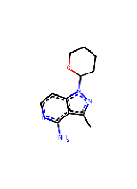 Cc1nn(C2CCCCO2)c2ccnc(N)c12